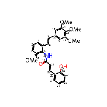 COc1cccc(/C=C/c2cc(OC)c(OC)c(OC)c2)c1NC(=O)/C=C/c1ccccc1O